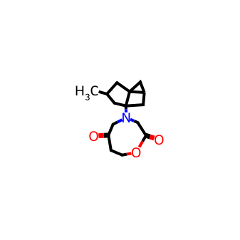 CC1CC23CC2CC3(N2CC(=O)CCOC(=O)C2)C1